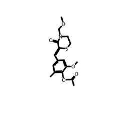 COCN1CCSC(=Cc2cc(C)c(OC(C)=O)c(OC)c2)C1=O